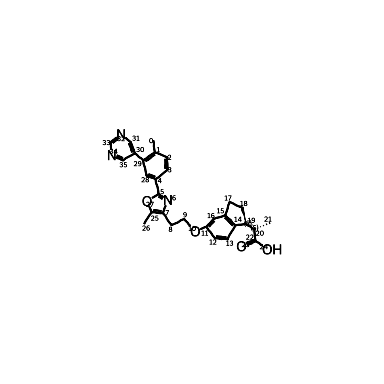 Cc1ccc(-c2nc(CCOc3ccc4c(c3)CC[C@H]4[C@H](C)C(=O)O)c(C)o2)cc1-c1cncnc1